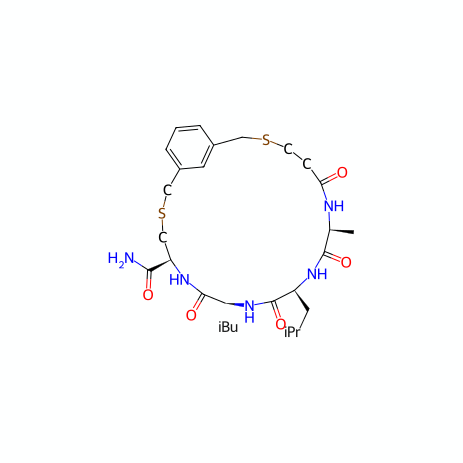 CC[C@H](C)[C@@H]1NC(=O)[C@H](CC(C)C)NC(=O)[C@H](C)NC(=O)CCSCc2cccc(c2)CSC[C@H](C(N)=O)NC1=O